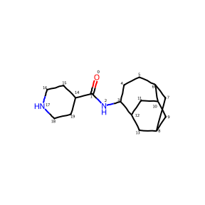 O=C(NC1CCC2CC3CC2CC1C3)C1CCNCC1